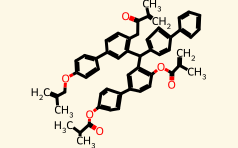 C=C(C)COc1ccc(-c2ccc(CC(=O)C(=C)C)c(C(c3ccc(-c4ccccc4)cc3)c3cc(-c4ccc(OC(=O)C(C)C)cc4)ccc3OC(=O)C(=C)C)c2)cc1